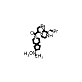 CC(C)CC(C(=O)N1CCC2(CCC(N(C)C)C2)CC1)N1CCN[C@@H](CC(C)C)C1=O